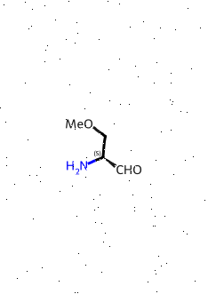 COC[C@H](N)C=O